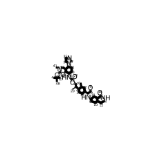 Cc1cc(C(C=O)Nc2ccc3cc[nH]c(=O)c3c2)ccc1[C@@H](C)COC(=O)Nc1ccc(-n2ccnc2)c(CN(C)C(=O)OC(C)(C)C)c1